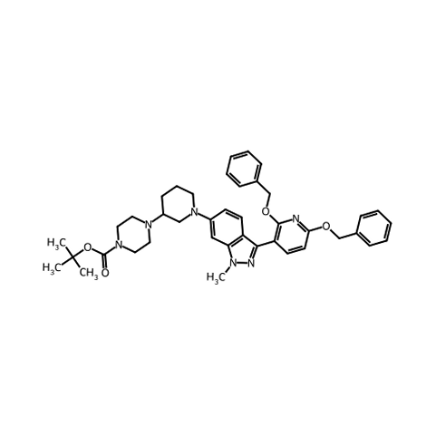 Cn1nc(-c2ccc(OCc3ccccc3)nc2OCc2ccccc2)c2ccc(N3CCCC(N4CCN(C(=O)OC(C)(C)C)CC4)C3)cc21